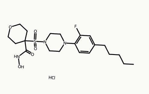 CCCCCc1ccc(N2CCN(S(=O)(=O)C3(C(=O)NO)CCOCC3)CC2)c(F)c1.Cl